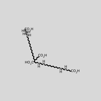 O=C(O)CCCNCCNCCCCCCCCCCNCCNCCC(C(=O)O)C(CCCCCCCCCCCCCCCNNNNC(=O)O)CCCC(=O)O